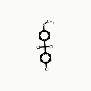 CSc1ccc(C(Cl)(Cl)c2ccc(Cl)cc2)cc1